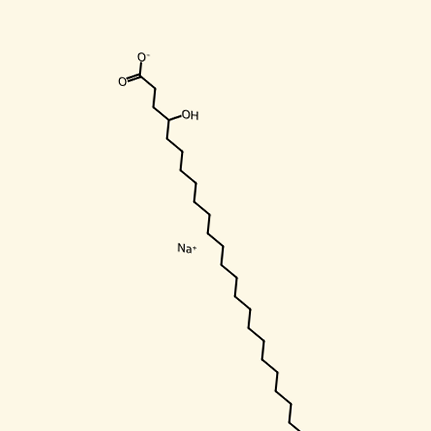 CCCCCCCCCCCCCCCCCCCCC(O)CCC(=O)[O-].[Na+]